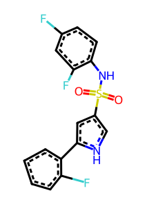 O=S(=O)(Nc1ccc(F)cc1F)c1c[nH]c(-c2ccccc2F)c1